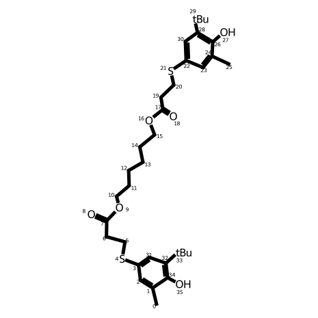 Cc1cc(SCCC(=O)OCCCCCCOC(=O)CCSc2cc(C)c(O)c(C(C)(C)C)c2)cc(C(C)(C)C)c1O